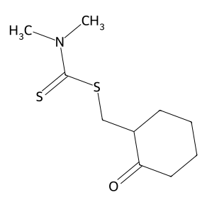 CN(C)C(=S)SCC1CCCCC1=O